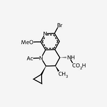 COc1nc(Br)cc2c1N(C(C)=O)[C@H](C1CC1)[C@H](C)[C@H]2NC(=O)O